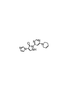 O=c1c(-n2ccnc2)c[nH]n1-c1cc(N2CC=CCC2)ncn1